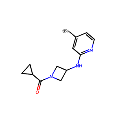 CC(C)(C)c1ccnc(NC2CN(C(=O)C3CC3)C2)c1